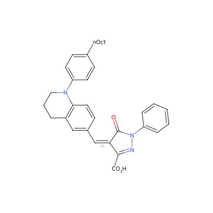 CCCCCCCCc1ccc(N2CCCc3cc(/C=C4\C(=O)N(c5ccccc5)N=C4C(=O)O)ccc32)cc1